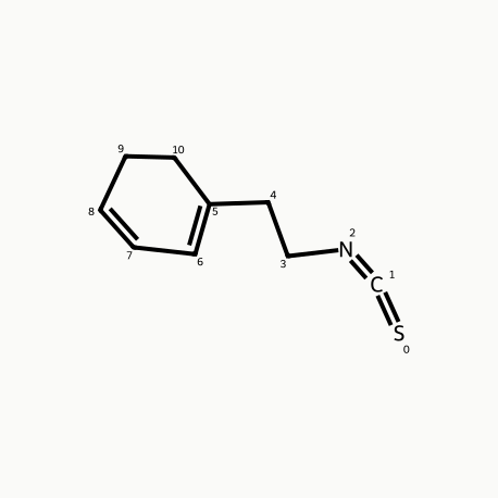 S=C=NCCC1=CC=CCC1